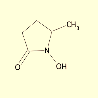 CC1CCC(=O)N1O